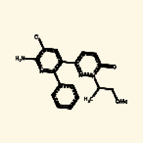 COCC(C)n1nc(-c2cc(Cl)c(N)nc2-c2ccccc2)ccc1=O